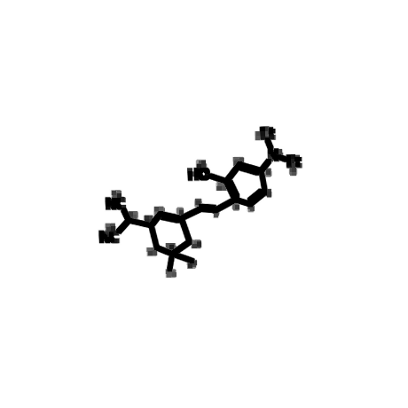 CCN(CC)c1ccc(C=CC2=CC(C(C#N)C#N)CC(C)(C)C2)c(O)c1